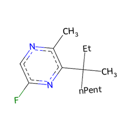 CCCCCC(C)(CC)c1nc(F)cnc1C